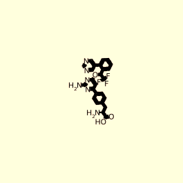 Nc1nc(OC(c2ccccc2-c2cncnc2)C(F)(F)F)cc(-c2ccc(C[C@H](N)C(=O)O)cc2)n1